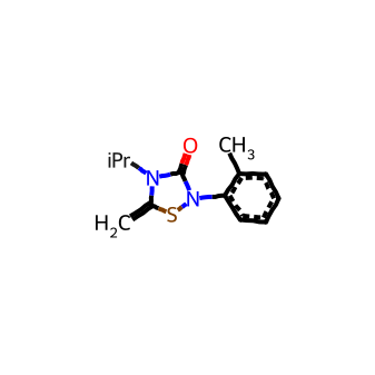 C=C1SN(c2ccccc2C)C(=O)N1C(C)C